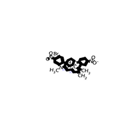 C=C(/C=C/C=C1/N(C)c2cc([N+](=O)[O-])c(Br)cc2C12CCCCC2)C(C)(C)c1cc([N+](=O)[O-])ccc1C